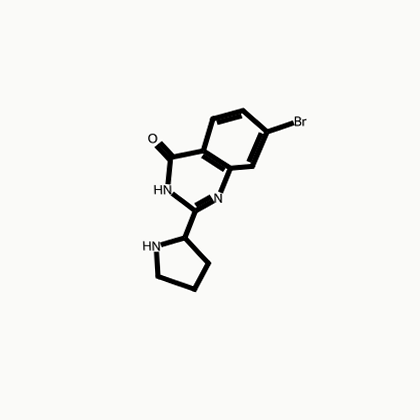 O=c1[nH]c(C2CCCN2)nc2cc(Br)ccc12